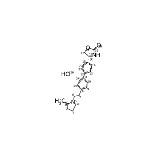 C[C@@H]1CCCN1CCc1ccc(-c2ccc([C@@H]3COC(=O)N3)cc2)cc1.Cl